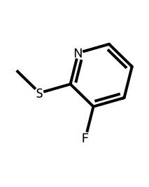 CSc1ncccc1F